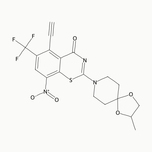 C#Cc1c(C(F)(F)F)cc([N+](=O)[O-])c2sc(N3CCC4(CC3)OCC(C)O4)nc(=O)c12